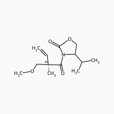 C=C[C@](C)(COC)C(=O)N1C(=O)OCC1C(C)C